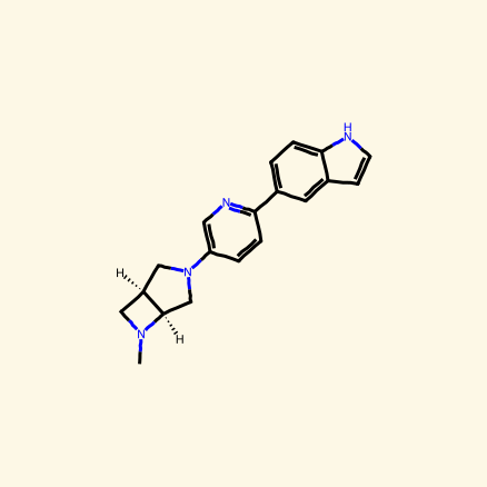 CN1C[C@H]2CN(c3ccc(-c4ccc5[nH]ccc5c4)nc3)C[C@H]21